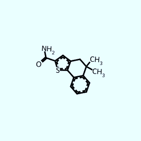 CC1(C)Cc2cc(C(N)=O)sc2-c2ccccc21